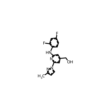 Cc1ccn(-c2cc(CO)cc(Nc3ccc(F)cc3F)n2)n1